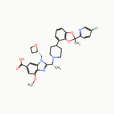 COc1cc(C(=O)O)cc2c1nc([C@@H](C)N1CCC(c3cccc4c3OC(C)(c3ccc(Cl)cn3)O4)CC1)n2C[C@@H]1CCO1